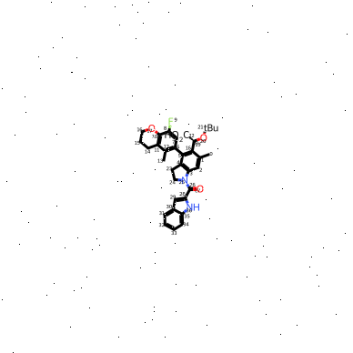 Cc1cc2c(c(-c3cc(F)c4c(c3C)CCCO4)c1[C@H](OC(C)(C)C)C(=O)O)CCN2C(=O)c1cc2ccccc2[nH]1